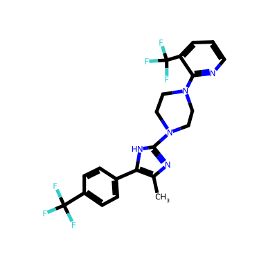 Cc1nc(N2CCN(c3ncccc3C(F)(F)F)CC2)[nH]c1-c1ccc(C(F)(F)F)cc1